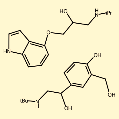 CC(C)(C)NCC(O)c1ccc(O)c(CO)c1.CC(C)NCC(O)COc1cccc2[nH]ccc12